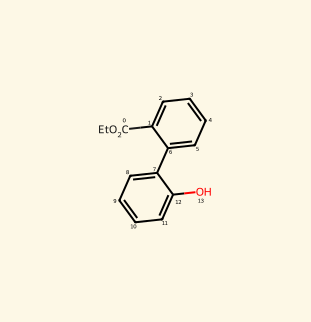 CCOC(=O)c1ccccc1-c1ccccc1O